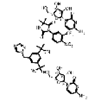 CC(C)(C#N)c1cc(Cn2cncn2)cc(C(C)(C)C#N)c1.CC1(C)NC(=O)N(c2ccc([N+](=O)[O-])c(C(F)(F)F)c2)C1=O.Nc1ccn([C@@H]2O[C@H](CO)[C@@H](O)[C@@H]2O)c(=O)n1.Nc1ccn([C@@H]2O[C@H](CO)[C@@H](O)[C@@H]2O)c(=O)n1